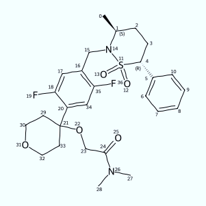 C[C@H]1CC[C@H](c2ccccc2)S(=O)(=O)N1Cc1cc(F)c(C2(OCC(=O)N(C)C)CCOCC2)cc1F